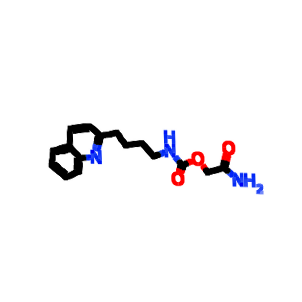 NC(=O)COC(=O)NCCCCc1ccc2ccccc2n1